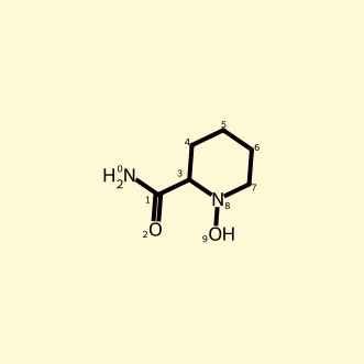 NC(=O)C1CCCCN1O